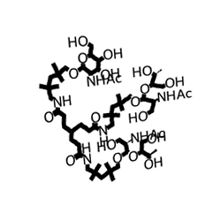 CC(=O)NC1C(OCC(C)(C)CC(C)(C)CNC(=O)CCC(CCC(=O)NCC(C)(C)CC(C)(C)COC(OC(CO)[C@@H](C)O)[C@H](CO)NC(C)=O)CCC(=O)NCC(C)(C)CC(C)(C)COC(OC(CO)[C@@H](C)O)[C@H](CO)NC(C)=O)OC(CO)C(O)C1O